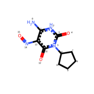 Nc1[nH]c(=O)n(C2CCCC2)c(=O)c1N=O